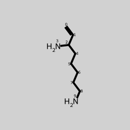 C=CC(N)CCCCCN